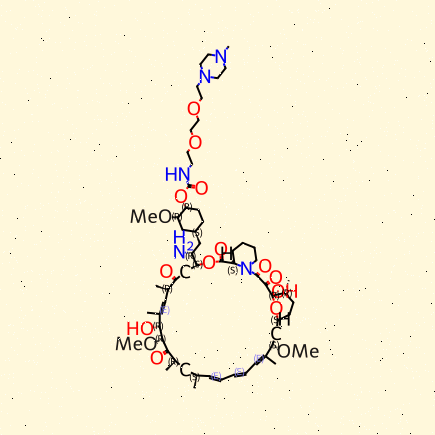 CO[C@H]1C[C@@H]2CC[C@@H](C)[C@@](O)(O2)C(=O)C(=O)N2CCCC[C@H]2C(=O)O[C@H]([C@H](N)C[C@@H]2CC[C@@H](OC(=O)NCCOCCOCCN3CCN(C)CC3)[C@H](OC)C2)CC(=O)[C@H](C)/C=C(\C)[C@@H](O)[C@@H](OC)C(=O)[C@H](C)C[C@H](C)/C=C/C=C/C=C/1C